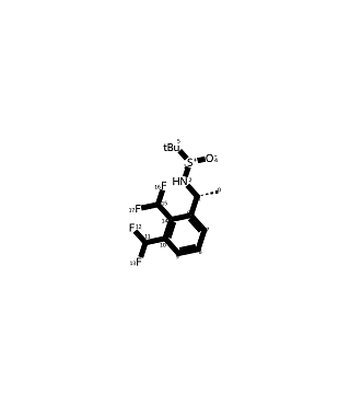 C[C@@H](N[S+]([O-])C(C)(C)C)c1cccc(C(F)F)c1C(F)F